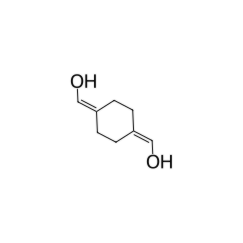 OC=C1CCC(=CO)CC1